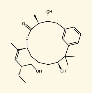 CC[C@H](/C=C(/C)[C@@H]1CCC[C@H](O)C(C)(C)c2cccc(c2)C[C@@H](O)[C@H](C)C(=O)O1)CO